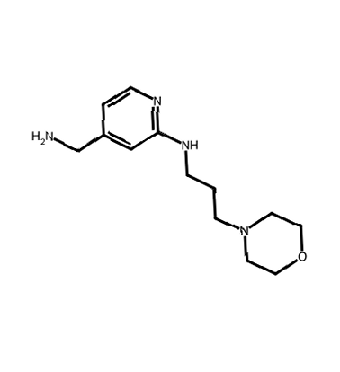 NCc1ccnc(NCCCN2CCOCC2)c1